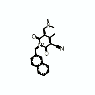 CC1=C(C#N)C(=O)[N+](=Cc2ccc3ccccc3c2)C(=O)C1=CN(C)C